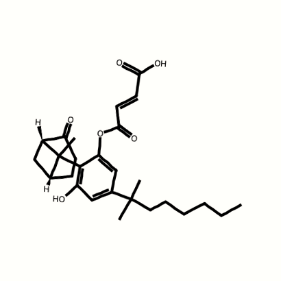 CCCCCCC(C)(C)c1cc(O)c(C2(C)[C@@H]3CCC(=O)[C@H]2C3)c(OC(=O)/C=C/C(=O)O)c1